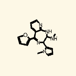 CNC1Nc2ncccc2C(c2ccco2)=NC1c1cccn1C